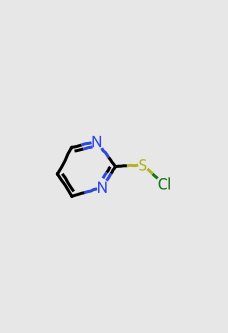 ClSc1ncccn1